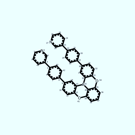 c1cncc(-c2ccc(-c3ccc4c(c3)B3c5cc(-c6ccc(-c7cccnc7)cc6)ccc5Oc5cccc(c53)O4)cc2)c1